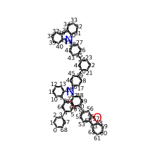 c1ccc(-c2cccc(-c3ccccc3N(c3ccc(-c4cccc(-c5ccc(-n6c7ccccc7c7ccccc76)cc5)c4)cc3)c3ccc(-c4ccc5c(c4)oc4ccccc45)cc3)c2)cc1